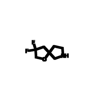 FC1(F)COC2(CCNC2)C1